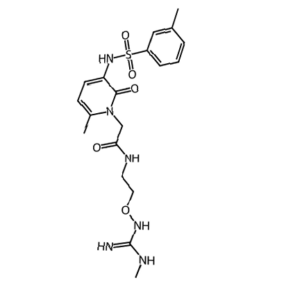 CNC(=N)NOCCNC(=O)Cn1c(C)ccc(NS(=O)(=O)c2cccc(C)c2)c1=O